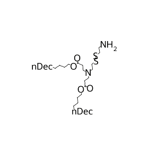 CCCCCCCCCCCCCCOC(=O)CCN(CCSSCCN)CCC(=O)OCCCCCCCCCCCCCC